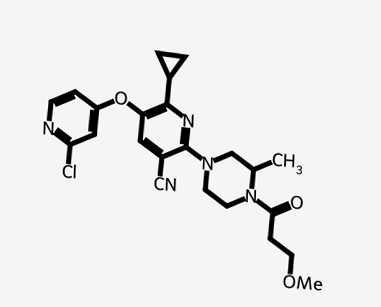 COCCC(=O)N1CCN(c2nc(C3CC3)c(Oc3ccnc(Cl)c3)cc2C#N)CC1C